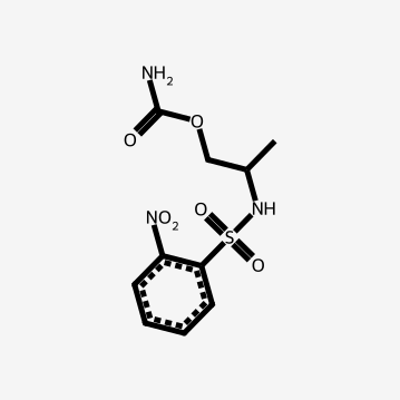 CC(COC(N)=O)NS(=O)(=O)c1ccccc1[N+](=O)[O-]